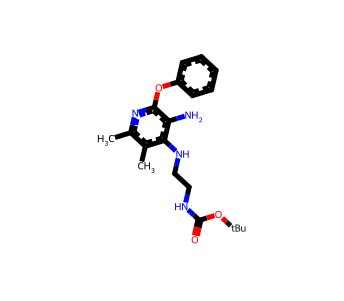 Cc1nc(Oc2ccccc2)c(N)c(NCCNC(=O)OC(C)(C)C)c1C